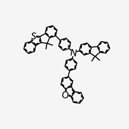 CC1(C)c2ccccc2-c2ccc(N(c3ccc(-c4ccc5oc6ccccc6c5c4)cc3)c3ccc(-c4cccc5c4C(C)(C)c4c-5sc5ccccc45)cc3)cc21